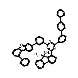 CC1(C)c2ccccc2-c2cccc(-c3nc(-c4cccc(-c5ccc(-c6ccccc6)cc5)c4)nc(-c4cccc(-c5ccc6c(c5)oc5cccc(-c7ccccc7)c56)c4)n3)c21